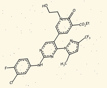 CCOC(=O)c1cc(-c2cnc(Nc3ccc(F)c(Cl)c3)nc2-n2nc(C(F)(F)F)cc2C)cn(CCO)c1=O